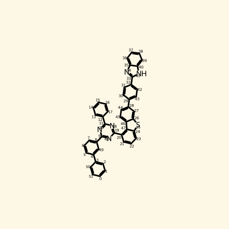 c1ccc(-c2cccc(-c3nc(-c4ccccc4)nc(-c4cccc5sc6cc(-c7ccc(-c8nc9ccccc9[nH]8)cc7)ccc6c45)n3)c2)cc1